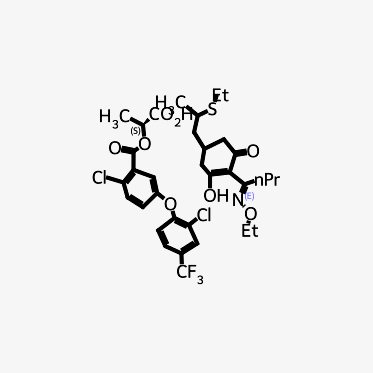 CCC/C(=N\OCC)C1=C(O)CC(CC(C)SCC)CC1=O.C[C@H](OC(=O)c1cc(Oc2ccc(C(F)(F)F)cc2Cl)ccc1Cl)C(=O)O